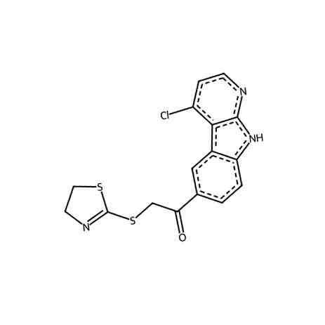 O=C(CSC1=NCCS1)c1ccc2[nH]c3nccc(Cl)c3c2c1